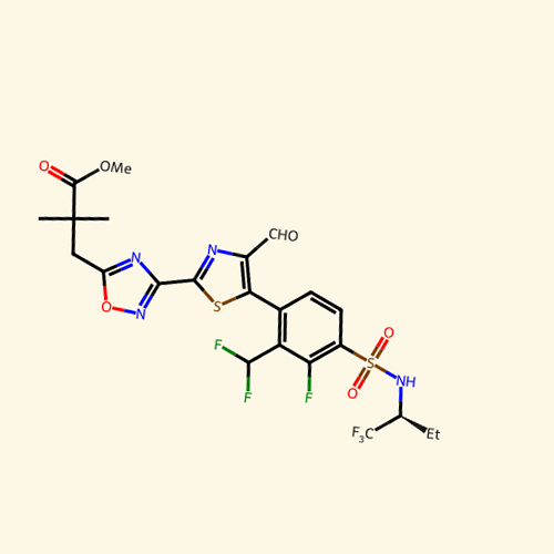 CC[C@H](NS(=O)(=O)c1ccc(-c2sc(-c3noc(CC(C)(C)C(=O)OC)n3)nc2C=O)c(C(F)F)c1F)C(F)(F)F